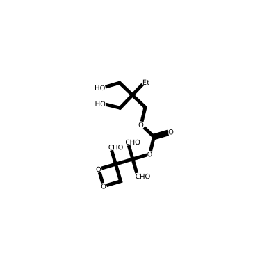 CCC(CO)(CO)COC(=O)OC(C=O)(C=O)C1(C=O)COO1